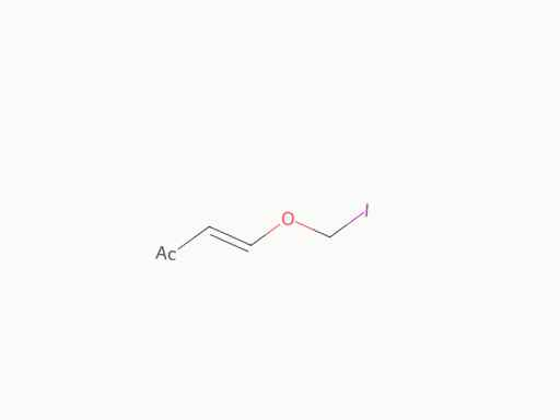 CC(=O)C=COCI